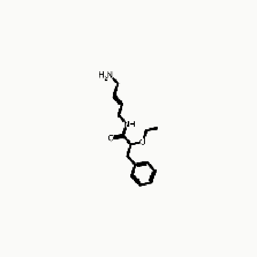 CCOC(Cc1ccccc1)C(=O)NCC=CCN